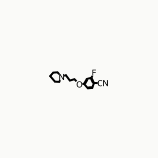 N#Cc1ccc(OCCCN2CCCCC2)cc1F